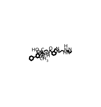 Cc1cc(-c2ccccc2)cc(C)c1S(=O)(=O)NC(CNC(=O)c1cccc2c1cnn2CCCNc1ncc[nH]1)C(=O)O